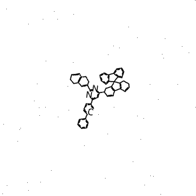 C1=CC2=C(C=C(c3nc(-c4ccc(-c5ccccc5)cc4)cc(C4C=CC5=C(C4)C4(C6=C5C=CCC6)c5ccccc5-c5ccccc54)n3)CC2)CC1